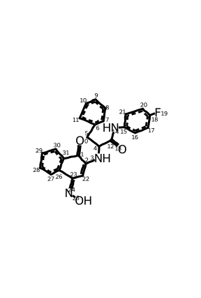 O=C1C(NC(Cc2ccccc2)C(=O)Nc2ccc(F)cc2)=CC(=NO)c2ccccc21